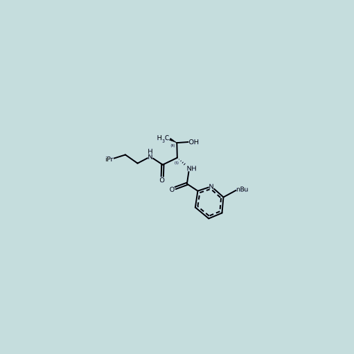 CCCCc1cccc(C(=O)N[C@H](C(=O)NCCC(C)C)[C@@H](C)O)n1